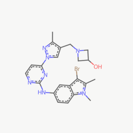 Cc1nn(-c2ccnc(Nc3ccc4c(c3)c(Br)c(C)n4C)n2)cc1CN1CC(O)C1